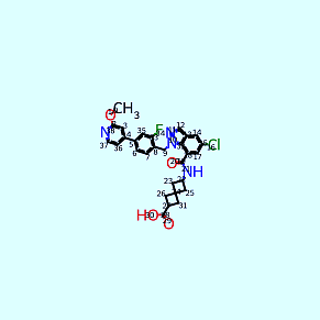 COc1cc(-c2ccc(Cn3ncc4cc(Cl)cc(C(=O)NC5CC6(C5)CC(C(=O)O)C6)c43)c(F)c2)ccn1